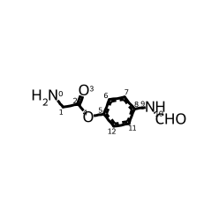 NCC(=O)Oc1ccc(NC=O)cc1